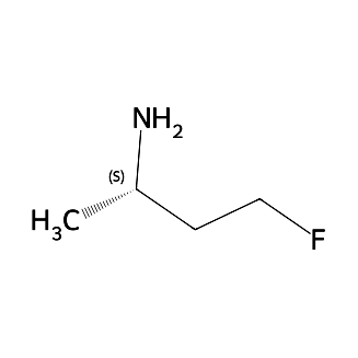 C[C@H](N)CCF